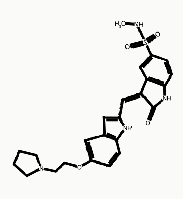 CNS(=O)(=O)c1ccc2c(c1)C(=Cc1cc3cc(OCCN4CCCC4)ccc3[nH]1)C(=O)N2